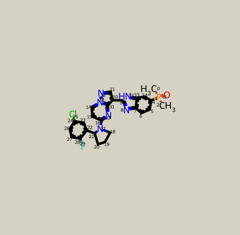 CP(C)(=O)c1ccc2nc(-c3cnn4ccc(N5CCCC5c5cc(Cl)ccc5F)nc34)[nH]c2c1